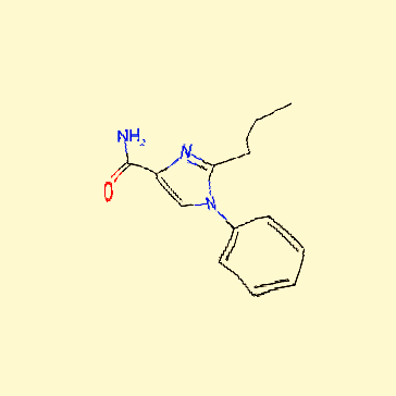 CCCc1nc(C(N)=O)cn1-c1ccccc1